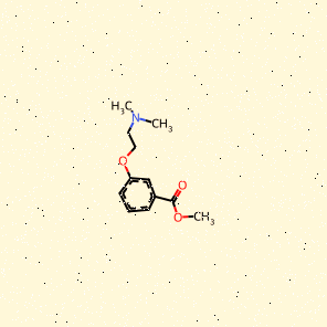 COC(=O)c1cccc(OCCN(C)C)c1